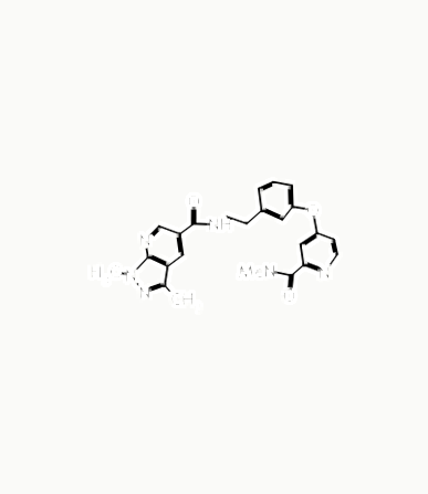 CNC(=O)c1cc(Oc2cccc(CCNC(=O)c3cnc4c(c3)c(C)nn4C)c2)ccn1